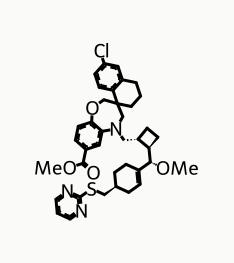 COC(=O)c1ccc2c(c1)N(C[C@@H]1CC[C@H]1[C@H](OC)C1=CC[C@@H](CSc3ncccn3)CC1)CC1(CCCc3cc(Cl)ccc31)CO2